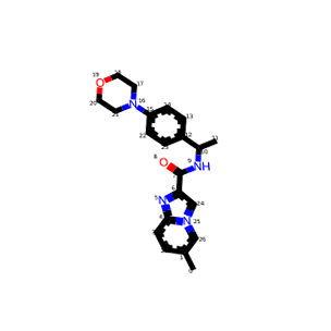 Cc1ccc2nc(C(=O)NC(C)c3ccc(N4CCOCC4)cc3)cn2c1